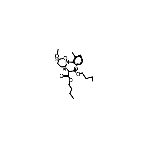 CCCCOC(=O)C(C(=O)OCCCC)[C@H]1CC[C@H](OC)ON1c1ccccc1C